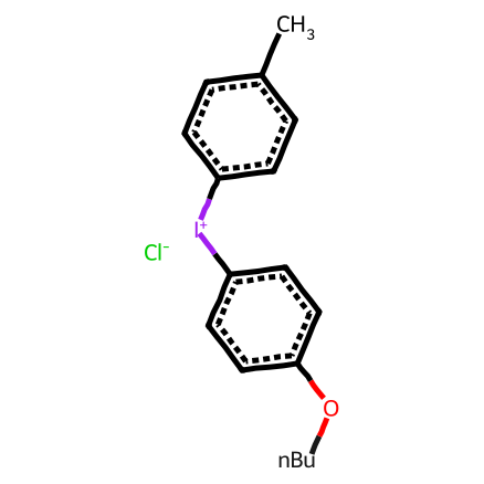 CCCCOc1ccc([I+]c2ccc(C)cc2)cc1.[Cl-]